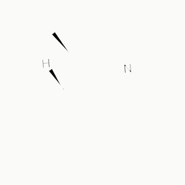 C[C@H]1CN2CC2C2CC[C@H]1C2